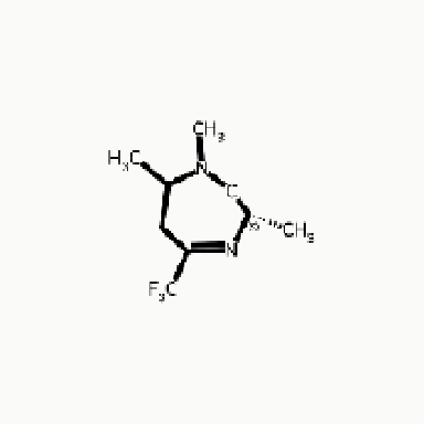 CC1CC(C(F)(F)F)=N[C@@H](C)CN1C